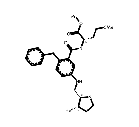 CSCC[C@H](NC(=O)c1cc(NC[C@@H]2NCC[C@@H]2S)ccc1Cc1ccccc1)C(=O)OC(C)C